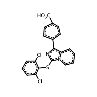 O=C(O)c1ccc(-c2nc(Sc3c(Cl)cccc3Cl)n3ccccc23)cc1